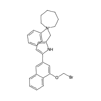 BrCOc1cc(-c2ccc(C[N+]3(c4ccccc4)CCCCCC3)[nH]2)cc2ccccc12